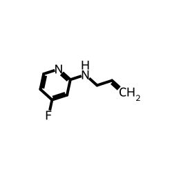 C=CCNc1cc(F)ccn1